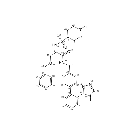 CN1CCC(S(=O)(=O)NC(COCc2ccccc2)C(=O)NCc2ccc(-c3ccccc3-c3nnn[nH]3)cc2)CC1